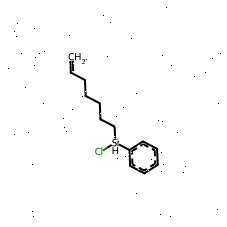 C=CCCCCC[SiH](Cl)c1ccccc1